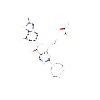 CCOc1nc(N2CCCNCC2)ncc1C(=O)Nc1cc(F)c2nc(C)cn2c1.O=C(O)C(F)(F)F